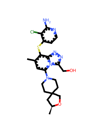 Cc1cc(N2CCC3(CC2)CO[C@@H](C)C3)n2c(CO)nnc2c1Sc1ccnc(N)c1Cl